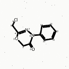 O=C1COC(CCl)=NN1c1ccccc1